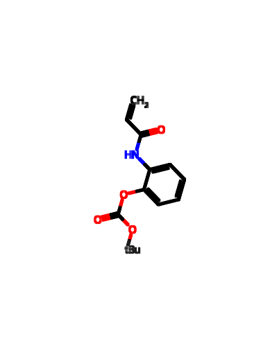 C=CC(=O)Nc1ccccc1OC(=O)OC(C)(C)C